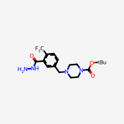 CC(C)(C)OC(=O)N1CCN(Cc2ccc(C(F)(F)F)c(C(=O)NN)c2)CC1